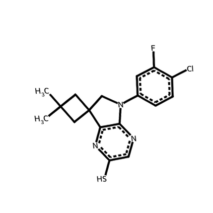 CC1(C)CC2(CN(c3ccc(Cl)c(F)c3)c3ncc(S)nc32)C1